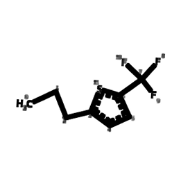 CC[CH]c1ccc(C(F)(F)F)s1